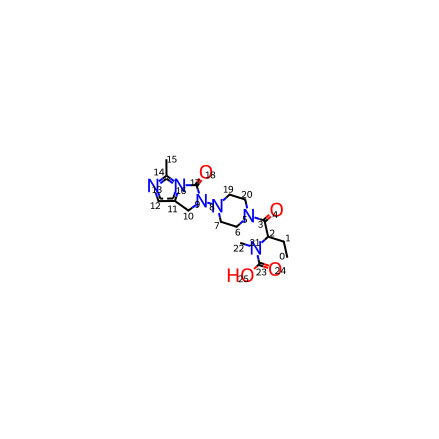 CCC(C(=O)N1CCN(N2Cc3cnc(C)n3C2=O)CC1)N(C)C(=O)O